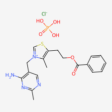 Cc1ncc(C[n+]2csc(CCOC(=O)c3ccccc3)c2C)c(N)n1.O=P(O)(O)O.[Cl-]